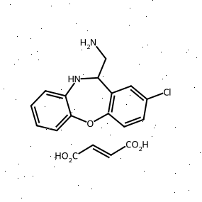 NCC1Nc2ccccc2Oc2ccc(Cl)cc21.O=C(O)C=CC(=O)O